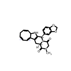 CN1CC(=O)N2[C@H](CC3=C(NC4C=CC/C=C\C=C\34)[C@H]2c2ccc3c(c2)OCO3)C1=O